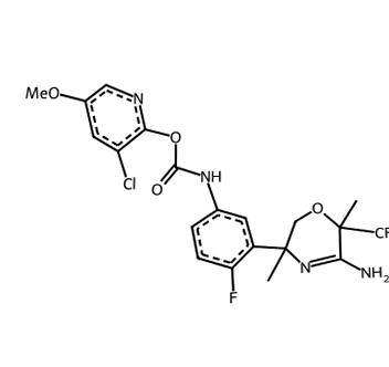 COc1cnc(OC(=O)Nc2ccc(F)c(C3(C)COC(C)(C(F)(F)F)C(N)=N3)c2)c(Cl)c1